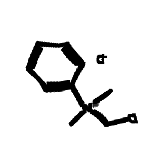 C[N+](C)(CCl)c1ccccc1.[Cl-]